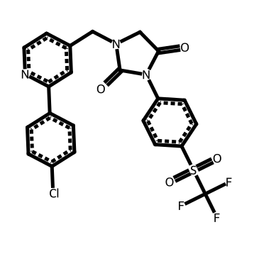 O=C1CN(Cc2ccnc(-c3ccc(Cl)cc3)c2)C(=O)N1c1ccc(S(=O)(=O)C(F)(F)F)cc1